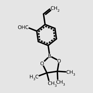 C=Cc1ccc(B2OC(C)(C)C(C)(C)O2)cc1C=O